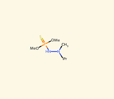 COP(=S)(NN(C)C(C)C)OC